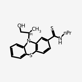 CCCNC(=S)c1ccc2c(c1)N([C@H](C)CO)c1ccccc1S2